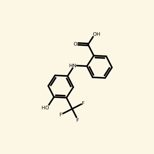 O=C(O)c1ccccc1Nc1ccc(O)c(C(F)(F)F)c1